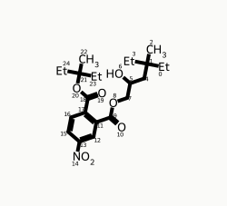 CCC(C)(CC)CC(O)COC(=O)c1cc([N+](=O)[O-])ccc1C(=O)OC(C)(CC)CC